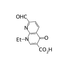 CCn1cc(C(=O)O)c(=O)c2ccc(C=O)nc21